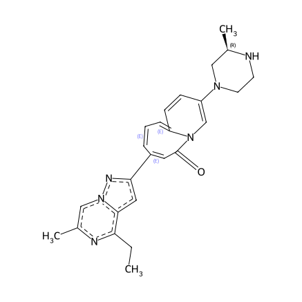 CCc1nc(C)cn2nc(C3=C\C(=O)N4C=C(N5CCN[C@H](C)C5)C=C\C4=C/C=C/3)cc12